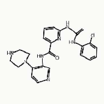 C=C(Nc1cccc(C(=O)Nc2cnccc2N2CCNCC2)n1)Nc1ccccc1Cl